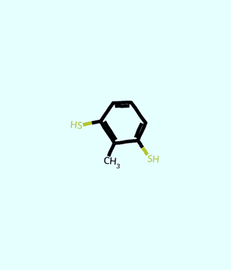 Cc1c(S)cccc1S